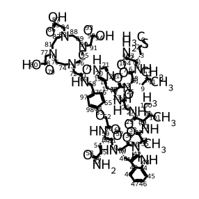 CSCC[C@H](NC(=O)[C@H](CC(C)C)NC(=O)[C@H](Cc1c[nH]cn1)NC(=O)CNC(=O)[C@@H](NC(=O)[C@H](C)NC(=O)[C@H](Cc1c[nH]c2ccccc12)NC(=O)[C@H](CCC(N)=O)NC(=O)COc1ccc(CNC(=O)CN2CCN(CC(=O)O)CCN(CC(=O)O)CCN(CC(=O)O)CC2)cc1)C(C)C)C(N)=O